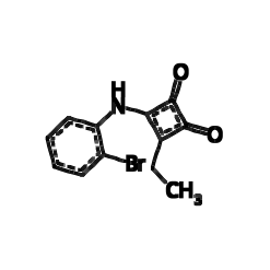 CCc1c(Nc2ccccc2Br)c(=O)c1=O